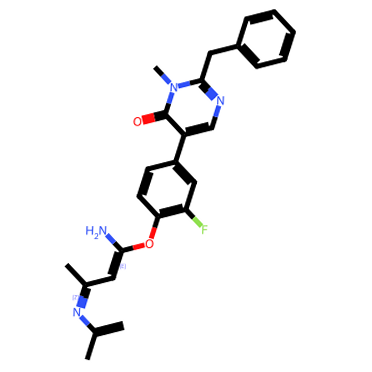 C=C(C)/N=C(C)\C=C(/N)Oc1ccc(-c2cnc(Cc3ccccc3)n(C)c2=O)cc1F